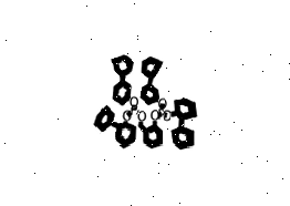 c1ccc(-c2cccc(OP(OCc3ccccc3OP(Oc3cccc(-c4ccccc4)c3)Oc3ccccc3-c3ccccc3)Oc3ccccc3-c3ccccc3)c2)cc1